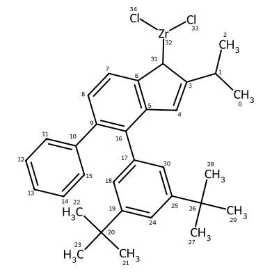 CC(C)C1=Cc2c(ccc(-c3ccccc3)c2-c2cc(C(C)(C)C)cc(C(C)(C)C)c2)[CH]1[Zr]([Cl])[Cl]